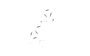 COc1ccc(/C=C/C(=O)Nc2ccccc2C(=O)O)cc1C1CCCC1